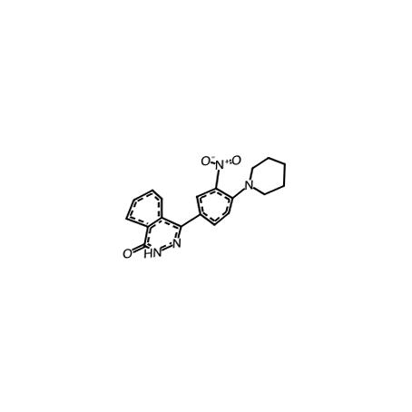 O=c1[nH]nc(-c2ccc(N3CCCCC3)c([N+](=O)[O-])c2)c2ccccc12